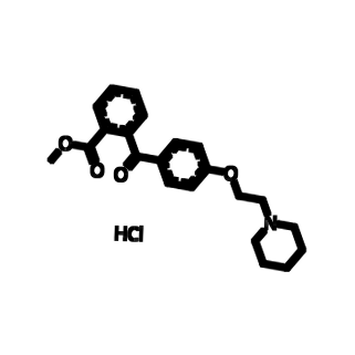 COC(=O)c1ccccc1C(=O)c1ccc(OCCN2CCCCC2)cc1.Cl